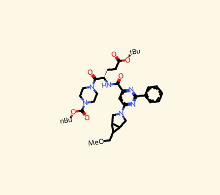 CCCCOC(=O)N1CCN(C(=O)[C@H](CCC(=O)OC(C)(C)C)NC(=O)c2cc(N3CC4C(COC)C4C3)nc(-c3ccccc3)n2)CC1